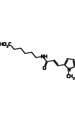 Cn1cccc1/C=C/C(=O)NCCCCCC(=O)O